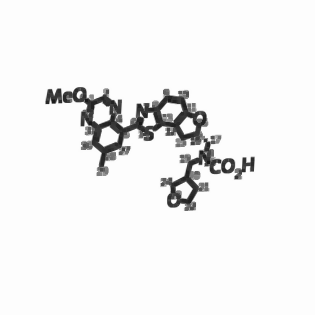 COc1cnc2c(-c3nc4ccc5c(c4s3)C[C@@H](CN(CC3CCOC3)C(=O)O)O5)cc(C)cc2n1